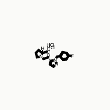 Cl.Cl.Fc1ccc(Cn2nccc2[C@@H]2CN3CCC[C@@H]3CN2)cc1